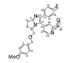 COc1ccc(COCC2CCc3nc(-c4ccc(F)cc4)c(-c4ccnc([S+](C)[O-])c4)n32)cc1